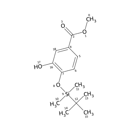 COC(=O)c1ccc(O[Si](C)(C)C(C)(C)C)c(O)c1